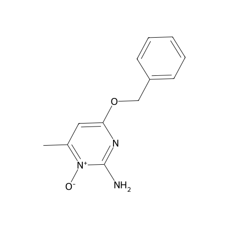 Cc1cc(OCc2ccccc2)nc(N)[n+]1[O-]